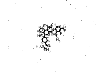 Cc1nc(N[C@@H](C)c2cccc(C(F)F)c2F)c2cc(C3(O)CCC(C(=O)N(C)C)CC3)c3c(c2n1)N(C)CCO3